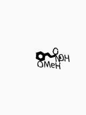 COc1cccc(C=CC(=O)NO)c1